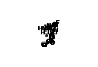 CC(Nc1c(-c2ccc(F)cc2)nc2n1C=CNC2)C(=O)N1CCN(C(=O)OCC2=CC=CCC2)CC1